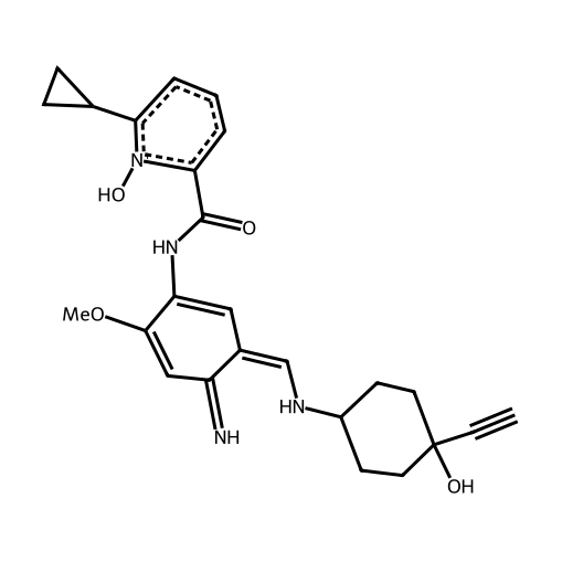 C#CC1(O)CCC(N/C=C2/C=C(NC(=O)c3cccc(C4CC4)[n+]3O)C(OC)=CC2=N)CC1